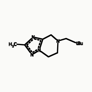 Cc1nc2n(n1)CCN(CC(C)(C)C)C2